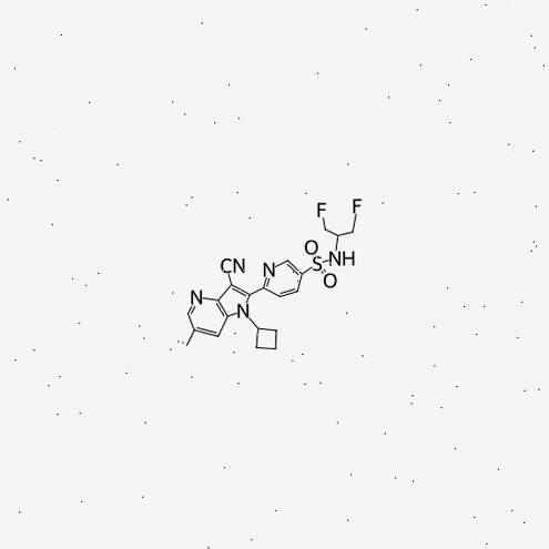 Cc1cnc2c(C#N)c(-c3ccc(S(=O)(=O)NC(CF)CF)cn3)n(C3CCC3)c2c1